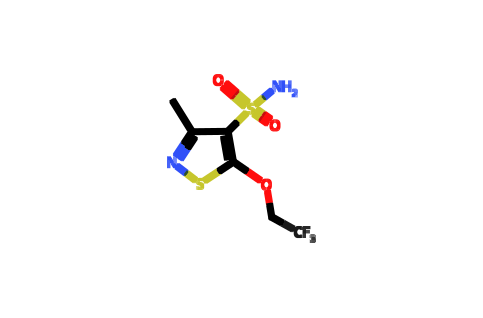 Cc1nsc(OCC(F)(F)F)c1S(N)(=O)=O